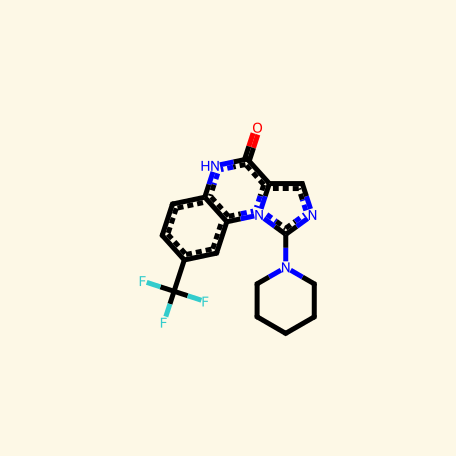 O=c1[nH]c2ccc(C(F)(F)F)cc2n2c(N3CCCCC3)ncc12